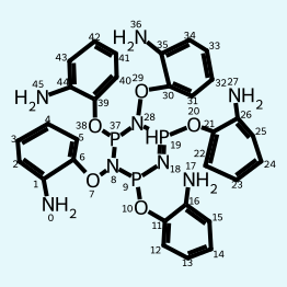 Nc1ccccc1ON1P(Oc2ccccc2N)N=[PH](Oc2ccccc2N)N(Oc2ccccc2N)P1Oc1ccccc1N